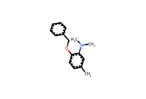 Cc1ccc(OCc2ccccc2)c(N(C)C)c1